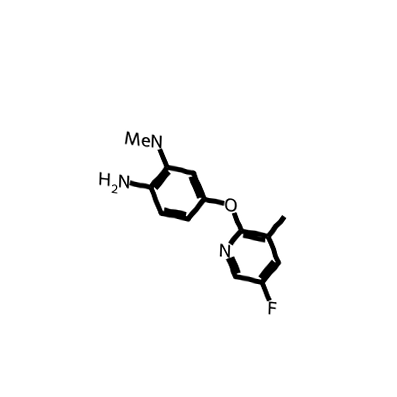 CNc1cc(Oc2ncc(F)cc2C)ccc1N